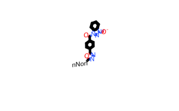 CCCCCCCCCc1nnc(-c2ccc(C(=O)n3n[n+]([O-])c4ccccc43)cc2)o1